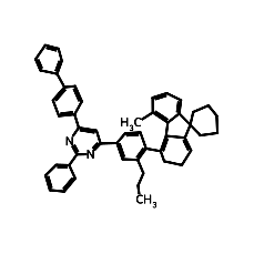 CCCc1cc(-c2cc(-c3ccc(-c4ccccc4)cc3)nc(-c3ccccc3)n2)ccc1C1=C2C(=CCC1)C1(CCCCC1)c1cccc(C)c12